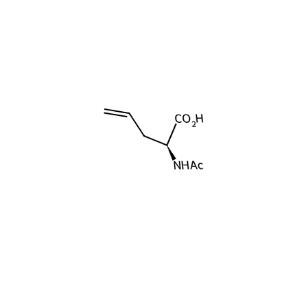 C=CC[C@H](NC(C)=O)C(=O)O